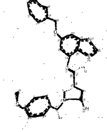 COc1ccc([C@@H](C)N2C[C@H]([C@@H](C)Oc3cc(OCc4ccccc4)cc4ncsc34)CC2O)cc1